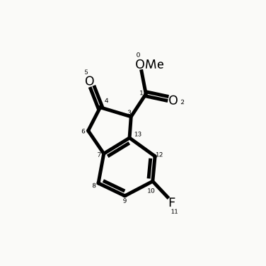 COC(=O)C1C(=O)Cc2ccc(F)cc21